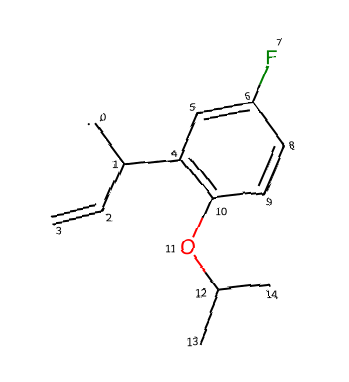 [CH2]C(C=C)c1cc(F)ccc1OC(C)C